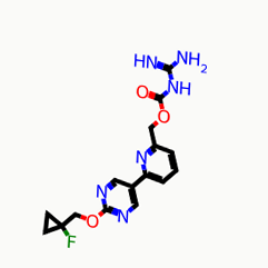 N=C(N)NC(=O)OCc1cccc(-c2cnc(OCC3(F)CC3)nc2)n1